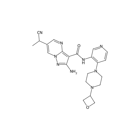 CC(C#N)c1cnc2c(C(=O)Nc3cnccc3N3CCN(C4COC4)CC3)c(N)nn2c1